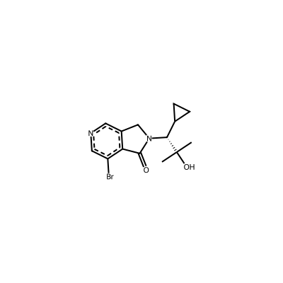 CC(C)(O)[C@@H](C1CC1)N1Cc2cncc(Br)c2C1=O